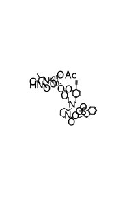 C#Cc1ccc(CN(CCOC(=O)OC[C@H]2O[C@@H](n3cc(C)c(=O)[nH]c3=O)C[C@@H]2OC(C)=O)CC2CCCCN2C(=O)OCC2=Cc3ccccc3S2(=O)=O)cc1